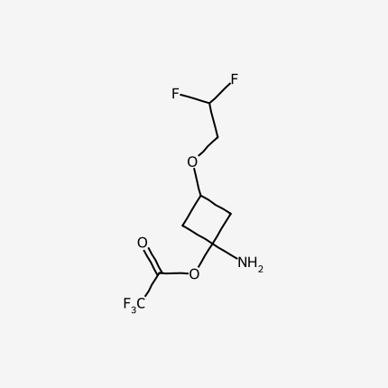 NC1(OC(=O)C(F)(F)F)CC(OCC(F)F)C1